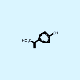 C=C(C(=O)O)c1ccc(S)cc1